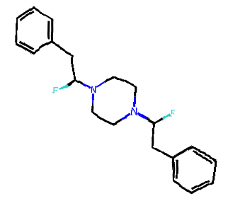 FC(Cc1ccccc1)N1CCN(C(F)Cc2ccccc2)CC1